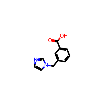 O=C(O)c1cccc(Cn2ccnc2)c1